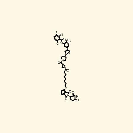 CC(Oc1cc(-c2cnn(C3CCN(C(=O)C4CN(C(=O)CCCCCCCOc5cccc6c5C(=O)N(C5CCC(=O)NC5=O)C6=O)C4)CC3)c2)cnc1N)c1c(Cl)ccc(F)c1Cl